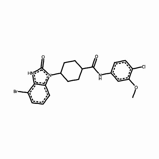 COc1cc(NC(=O)C2CCC(n3c(=O)[nH]c4c(Br)cccc43)CC2)ccc1Cl